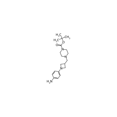 CC(C)(C)OC(=O)N1CCN(CC2CN(c3ccc(N)cc3)C2)CC1